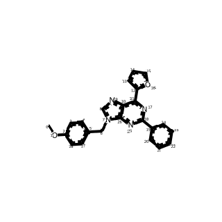 COc1ccc(Cn2cnc3c(-c4ccco4)nc(-c4ccccc4)nc32)cc1